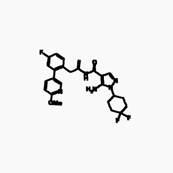 C=C(Cc1ccc(F)cc1-c1ccc(OC)nc1)NC(=O)c1cnn(C2CCC(F)(F)CC2)c1N